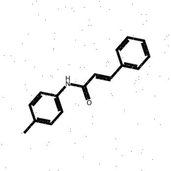 [CH2]c1ccc(NC(=O)C=Cc2ccccc2)cc1